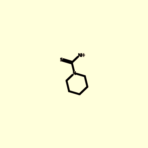 [NH]C(=S)N1CCCCC1